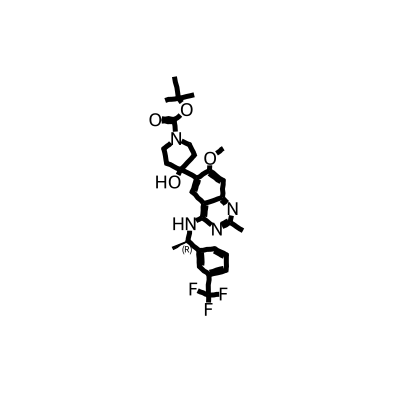 COc1cc2nc(C)nc(N[C@H](C)c3cccc(C(F)(F)F)c3)c2cc1C1(O)CCN(C(=O)OC(C)(C)C)CC1